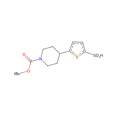 CC(C)(C)OC(=O)N1CCC(c2ccc(S(=O)(=O)O)s2)CC1